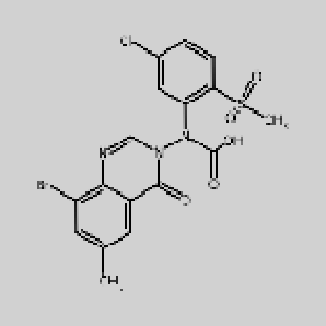 Cc1cc(Br)c2ncn(N(C(=O)O)c3cc(Cl)ccc3S(C)(=O)=O)c(=O)c2c1